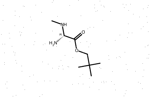 CN[C@@H](N)C(=O)OCC(C)(C)C